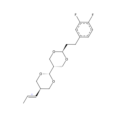 C/C=C/[C@H]1CO[C@H]([C@H]2CO[C@H](CCc3ccc(F)c(F)c3)OC2)OC1